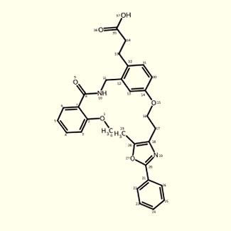 COc1ccccc1C(=O)NCc1cc(OCCc2nc(-c3ccccc3)oc2C)ccc1CCC(=O)O